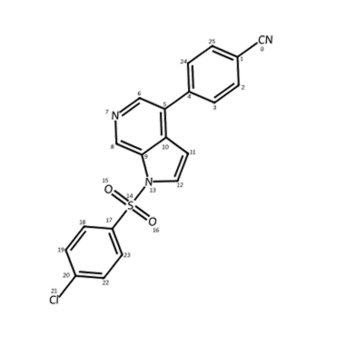 N#Cc1ccc(-c2cncc3c2ccn3S(=O)(=O)c2ccc(Cl)cc2)cc1